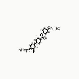 CCCCCCCc1ccc(-c2ccc(C(=O)Oc3ccc(OCCCCCC)cc3)cc2)cc1F